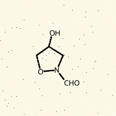 O=CN1CC(O)CO1